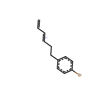 C=C/C=C/CCc1ccc(Br)cc1